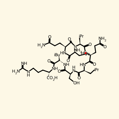 CC[C@H](C)[C@H](NC(=O)[C@H](CO)NC(=O)[C@H](CC(C)C)NC(=O)[C@H](CCC(N)=O)NC(=O)[C@@H](NC(=O)[C@H](CCC(N)=O)NC(=O)[C@@H](N)CC(C)C)C(C)C)C(=O)N[C@@H](CCCNC(=N)N)C(=O)O